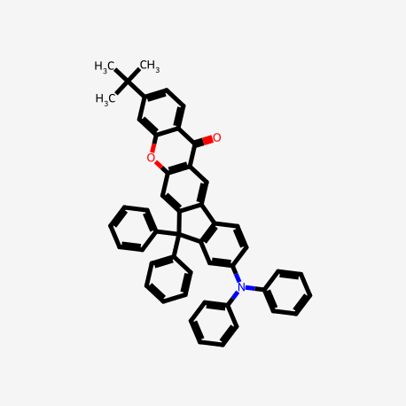 CC(C)(C)c1ccc2c(=O)c3cc4c(cc3oc2c1)C(c1ccccc1)(c1ccccc1)c1cc(N(c2ccccc2)c2ccccc2)ccc1-4